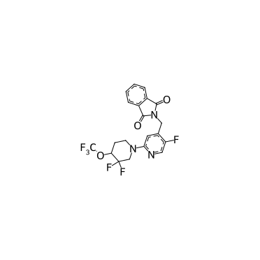 O=C1c2ccccc2C(=O)N1Cc1cc(N2CCC(OC(F)(F)F)C(F)(F)C2)ncc1F